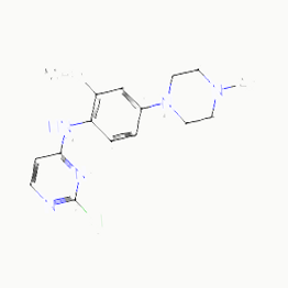 COc1cc(N2CCN(C(C)=O)CC2)ccc1Nc1ccnc(Cl)n1